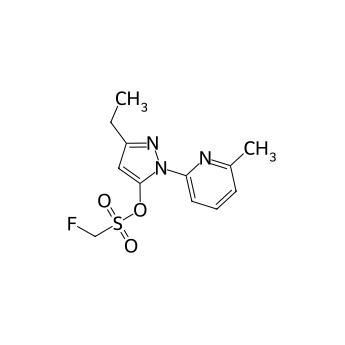 CCc1cc(OS(=O)(=O)CF)n(-c2cccc(C)n2)n1